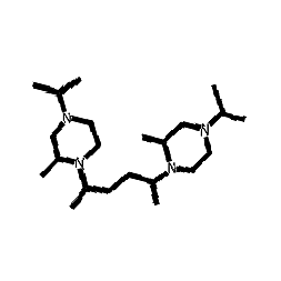 CC(C)N1CCN(C(C)CCC(C)N2CCN(C(C)C)CC2C)C(C)C1